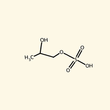 CC(O)COS(=O)(=O)O